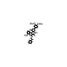 COc1ccc(C2CC(=O)C3=C(C2)NC(C)=C(C(=O)OCCc2ccccc2)C3c2cccc(O)c2)cc1OC